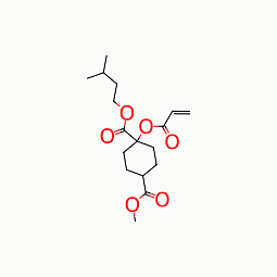 C=CC(=O)OC1(C(=O)OCCC(C)C)CCC(C(=O)OC)CC1